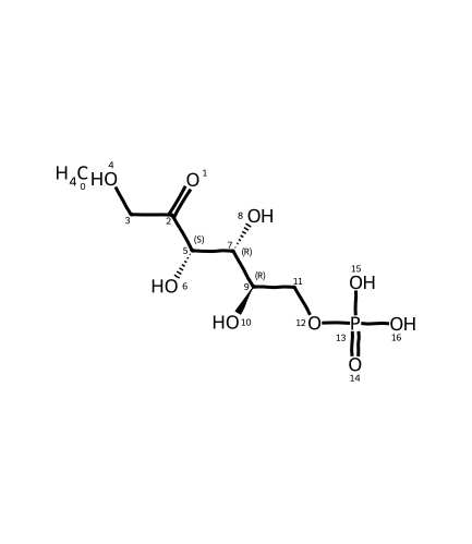 C.O=C(CO)[C@@H](O)[C@H](O)[C@H](O)COP(=O)(O)O